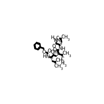 CC(C)C[C@H](NC(=O)[C@@H](C[C@H](O)[C@H](CC(C)C)NC(=O)OCc1ccccc1)C(C)C)C(N)=O